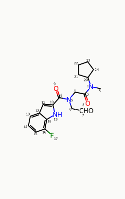 CN(C(=O)CN(CC=O)C(=O)c1cc2cccc(F)c2[nH]1)C1CCCC1